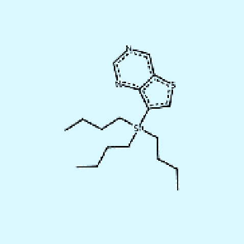 CCC[CH2][Sn]([CH2]CCC)([CH2]CCC)[c]1csc2cncnc12